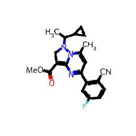 COC(=O)C1=C2N=C(c3cc(F)ccc3C#N)C=C(C)N2N(C(C)C2CC2)C1